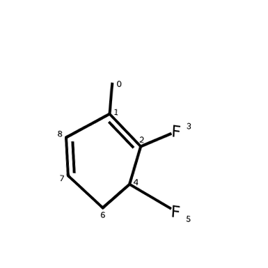 CC1=C(F)C(F)CC=C1